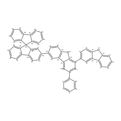 c1ccc(-c2nc(-c3ccc4oc5ccccc5c4c3)c3oc4ccc(-c5ccc6c(c5)C5(c7ccccc7-c7ccccc75)c5ccccc5-6)cc4c3n2)cc1